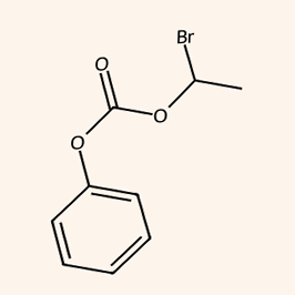 CC(Br)OC(=O)Oc1ccccc1